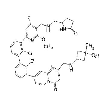 COc1nc(-c2cccc(-c3cccc(-c4ccn5c(=O)cc(CNC6CC(C)(O)C6)nc5c4)c3Cl)c2Cl)cc(Cl)c1CNCC1CCC(=O)N1